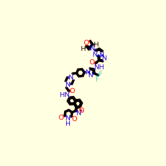 O=C1CCC(c2noc3ccc4cc(NC(=O)CN5CCN(CC6CCC(n7cc(NC(=O)c8cnn9ccc(N%10C[C@H]%11C[C@@H]%10CO%11)nc89)c(C(F)F)n7)CC6)CC5)ccc4c23)C(=O)N1